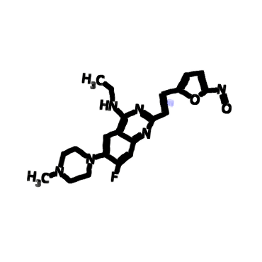 CCNc1nc(/C=C/c2ccc(N=O)o2)nc2cc(F)c(N3CCN(C)CC3)cc12